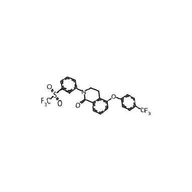 O=C1c2cccc(Oc3ccc(C(F)(F)F)cc3)c2CCN1c1cccc(S(=O)(=O)C(F)(F)F)c1